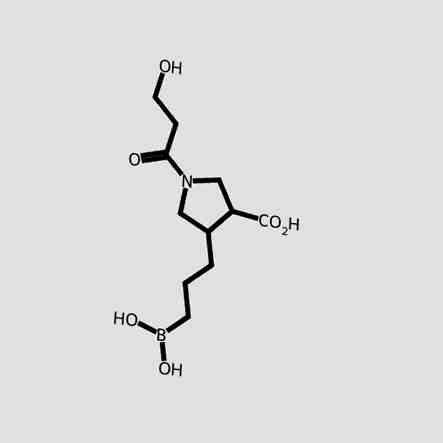 O=C(O)C1CN(C(=O)CCO)CC1CCCB(O)O